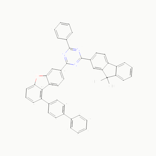 CC1(C)c2ccccc2-c2ccc(-c3nc(-c4ccccc4)nc(-c4ccc5c(c4)oc4cccc(-c6ccc(-c7ccccc7)cc6)c45)n3)cc21